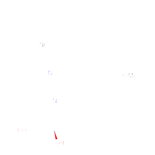 COc1ccc2c(N3C[C@@H](O)[C@H](O)C3)nc(C#N)c(-c3ccccc3)c2c1